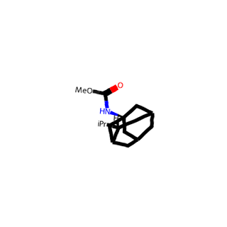 COC(=O)N[C@]12CC3CC(C1)[C@@H](C(C)C)C(C3)C2